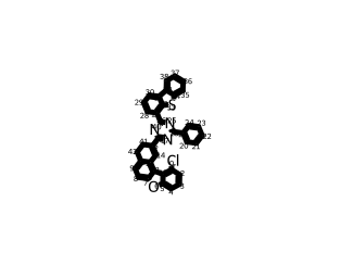 Clc1cccc2oc3ccc4c(c3c12)C=C(c1nc(-c2ccccc2)nc(-c2cccc3c2sc2ccccc23)n1)CC4